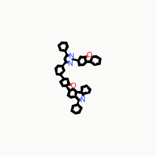 c1ccc(-c2cc(-c3cccc(-c4ccc5c(c4)oc4c5ccc5c(-c6ccccc6)nc6ccccc6c54)c3)nc(-c3ccc4c(c3)oc3ccccc34)n2)cc1